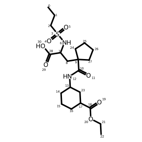 CCCS(=O)(=O)NC(CC1(C(=O)NC2CCCC(C(=O)OCC)C2)CCCC1)C(=O)O